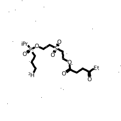 [2H]CCCP(=O)(OCCS(=O)(=O)CCOC(=O)CCC(=O)CC)C(C)C